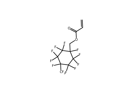 C=CC(=O)OCC1(F)C(F)(F)C(F)(F)C(F)(C(F)(F)F)C(F)(F)C1(F)F